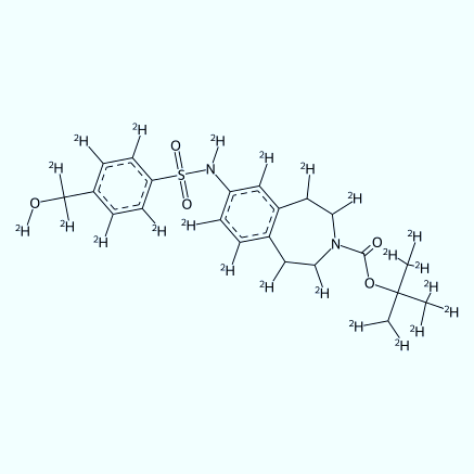 [2H]OC([2H])([2H])c1c([2H])c([2H])c(S(=O)(=O)N([2H])c2c([2H])c([2H])c3c(c2[2H])C([2H])C([2H])N(C(=O)OC(C([2H])[2H])(C([2H])([2H])[2H])C([2H])([2H])[2H])C([2H])C3[2H])c([2H])c1[2H]